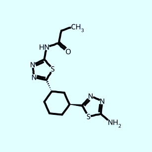 CCC(=O)Nc1nnc([C@H]2CCC[C@H](c3nnc(N)s3)C2)s1